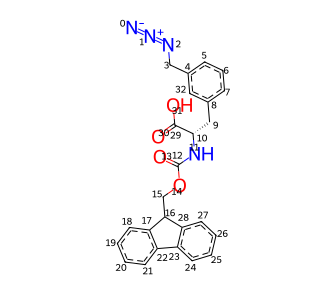 [N-]=[N+]=NCc1cccc(C[C@H](NC(=O)OCC2c3ccccc3-c3ccccc32)C(=O)O)c1